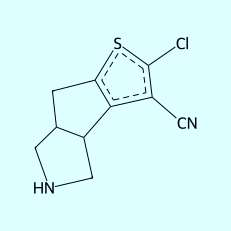 N#Cc1c(Cl)sc2c1C1CNCC1C2